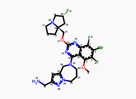 COc1c(F)c(Br)c(F)c2nc(OC[C@@]34CCCN3C[C@H](F)C4)nc(N3CCCn4nc(CN)cc4C3)c12